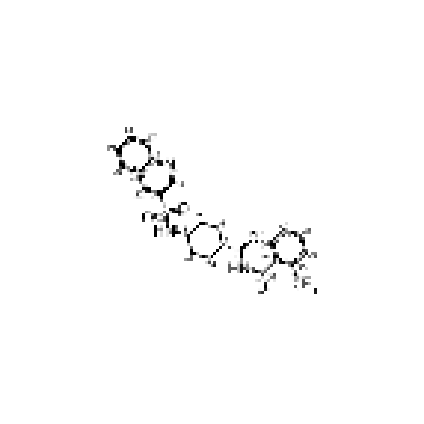 C[C@@H](NC(=O)[C@H]1CC[C@H](NS(=O)(=O)c2cnc3ccccc3c2)CC1)c1ccccc1C(F)(F)F